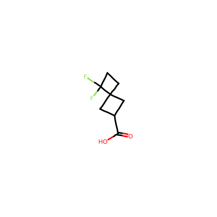 O=C(O)C1CC2(CCC2(F)F)C1